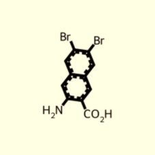 Nc1cc2cc(Br)c(Br)cc2cc1C(=O)O